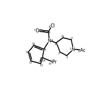 CC(=O)N1CCC(N(C(=O)Cl)c2ccccc2C(C)C)CC1